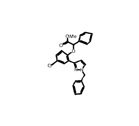 COC(=O)C(Oc1ccc(Cl)cc1-c1ccn(Cc2ccccc2)n1)c1ccccc1